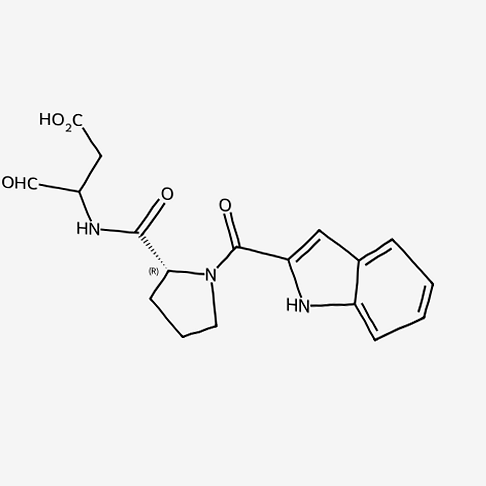 O=CC(CC(=O)O)NC(=O)[C@H]1CCCN1C(=O)c1cc2ccccc2[nH]1